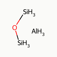 [AlH3].[SiH3]O[SiH3]